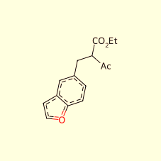 CCOC(=O)C(Cc1ccc2occc2c1)C(C)=O